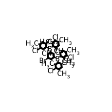 Cc1cc(C)c(B(c2cc(Br)cc(B(c3c(C)cc(C)c(Cl)c3C)c3c(C)cc(C)c(Cl)c3C)c2)c2c(C)cc(C)c(Cl)c2C)c(C)c1Cl